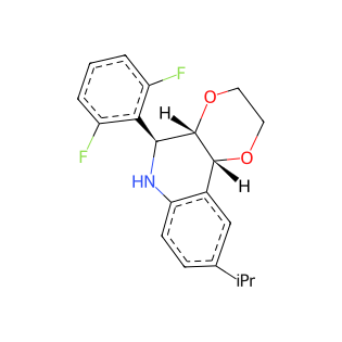 CC(C)c1ccc2c(c1)[C@H]1OCCO[C@H]1[C@H](c1c(F)cccc1F)N2